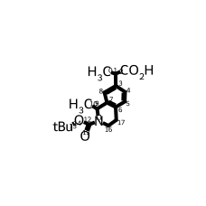 CC(C(=O)O)c1ccc2c(c1)C(C)N(C(=O)OC(C)(C)C)CC2